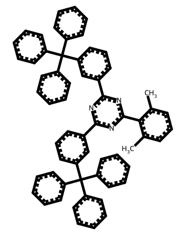 Cc1cccc(C)c1-c1nc(-c2cccc(C(c3ccccc3)(c3ccccc3)c3ccccc3)c2)nc(-c2cccc(C(c3ccccc3)(c3ccccc3)c3ccccc3)c2)n1